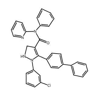 O=C(C1=C(c2ccc(-c3ccccc3)cc2)N(c2cccc(Cl)c2)NC1)N(c1ccccc1)c1ccccn1